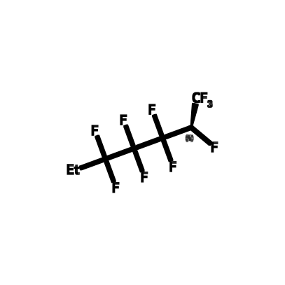 [CH2]CC(F)(F)C(F)(F)C(F)(F)[C@H](F)C(F)(F)F